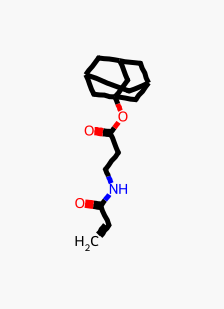 C=CC(=O)NCCC(=O)OC12CC3CC(CC(C3)C1)C2